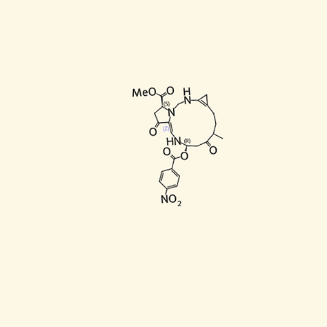 COC(=O)[C@@H]1CC(=O)/C2=C/N[C@H](OC(=O)c3ccc([N+](=O)[O-])cc3)CC(=O)C(C)CCC3=C(C3)NCN21